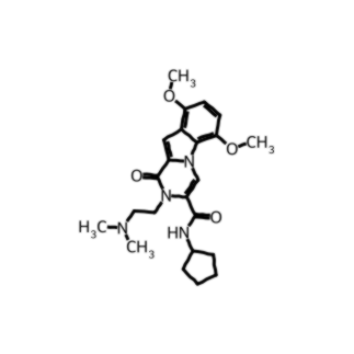 COc1ccc(OC)c2c1cc1c(=O)n(CCN(C)C)c(C(=O)NC3CCCC3)cn12